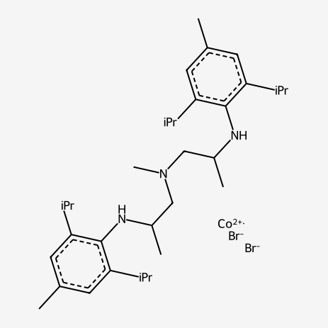 Cc1cc(C(C)C)c(NC(C)CN(C)CC(C)Nc2c(C(C)C)cc(C)cc2C(C)C)c(C(C)C)c1.[Br-].[Br-].[Co+2]